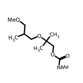 CNC(=O)OCC(C)(C)OCC(C)COC